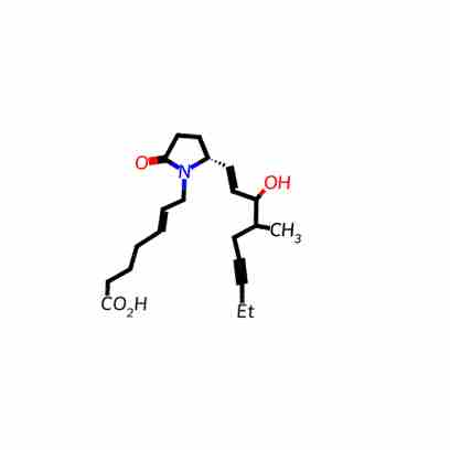 CCC#CCC(C)C(O)/C=C/[C@H]1CCC(=O)N1CC=CCCCC(=O)O